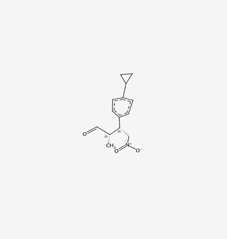 C[C@H](C=O)[C@@H](C[N+](=O)[O-])c1ccc(C2CC2)cc1